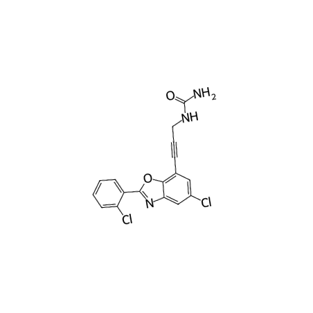 NC(=O)NCC#Cc1cc(Cl)cc2nc(-c3ccccc3Cl)oc12